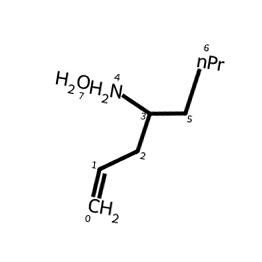 C=CCC(N)CCCC.O